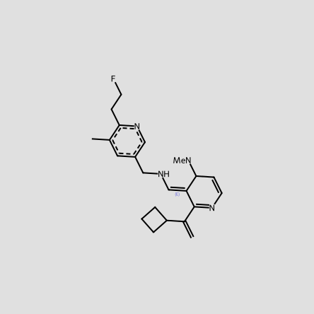 C=C(C1=NC=CC(NC)/C1=C\NCc1cnc(CCF)c(C)c1)C1CCC1